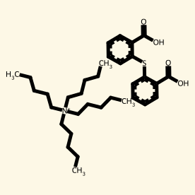 CCCCC[N+](CCCCC)(CCCCC)CCCCC.O=C(O)c1ccccc1Sc1ccccc1C(=O)O